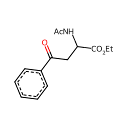 CCOC(=O)C(CC(=O)c1ccccc1)NC(C)=O